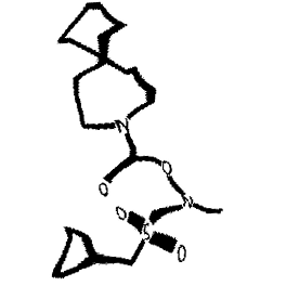 CN(OC(=O)N1CCC2(CCC2)CC1)S(=O)(=O)CC1CC1